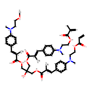 C=CC(=O)OCCN(C)c1ccc(/C=C(\C#N)C(=O)OCC(O)(COC(=O)/C(C#N)=C/c2ccc(N(C)CCOCC)cc2)COC(=O)/C(C#N)=C/c2ccc(N(C)CCOC(=O)C(=C)C)cc2)cc1